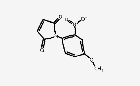 COc1ccc(N2C(=O)C=CC2=O)c([N+](=O)[O-])c1